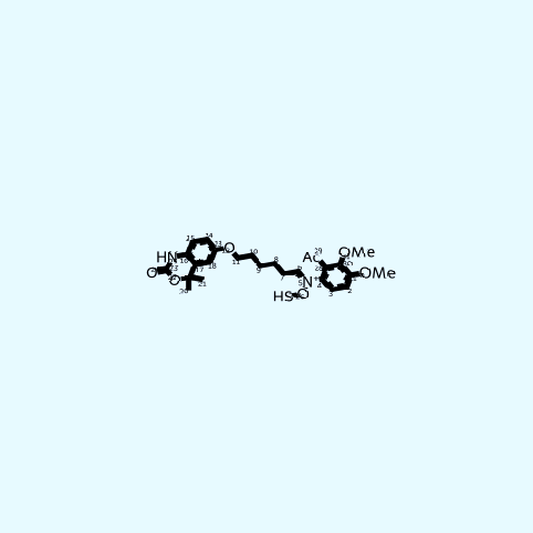 COc1ccc([N+](=CCCCCCOc2ccc3c(c2)C(C)(C)OC(=O)N3)OS)c(C(C)=O)c1OC